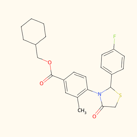 Cc1cc(C(=O)OCC2CCCCC2)ccc1N1C(=O)CSC1c1ccc(F)cc1